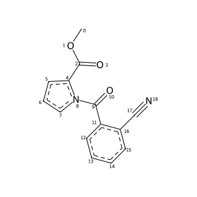 COC(=O)c1cccn1C(=O)c1ccccc1C#N